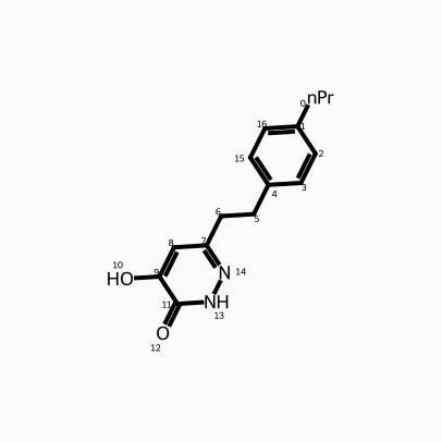 CCCc1ccc(CCc2cc(O)c(=O)[nH]n2)cc1